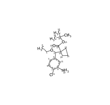 CCOC(c1ccc(Cl)c(N)c1)C1(C(=O)OC(C)(C)C)CCC1